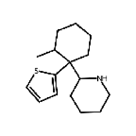 CC1CCCCC1(c1cccs1)C1CCCCN1